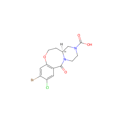 O=C(O)N1CCN2C(=O)c3cc(Cl)c(Br)cc3OCC[C@H]2C1